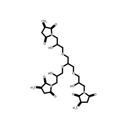 C=C1CC(=O)N(CC(O)COCC(COCC(O)CN2C(=O)CC(=C)C2=O)OCC(O)CN2C(=O)CC(=C)C2=O)C1=O